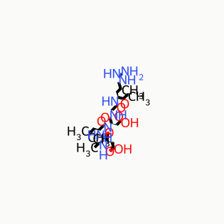 CC(C)C[C@H](NC(=O)[C@H](CC(=O)O)NC(C)C)C(=O)N[C@@H](CC(=O)O)C(=O)NCC(=O)N[C@@H](CCCNC(=N)N)C(=O)C(C)C